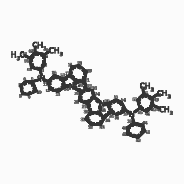 Cc1cc(N(c2ccccc2)c2ccc3c(c2)c2cccc4c5cc6c(cc5n3c24)c2cccc3c4cc(N(c5ccccc5)c5cc(C)c(C)c(C)c5)ccc4n6c32)cc(C)c1C